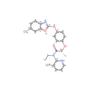 CCN(C(=O)[C@@H](C)Oc1ccc(Oc2nc3ccc(Cl)cc3o2)cc1)c1ncccc1Cl